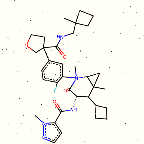 Cn1nccc1C(=O)N[C@@H]1C(=O)[N+](C)(c2cc(C3(C(=O)NCC4(C)CCC4)CCOC3)ccc2F)C2CC2(C)C1C1CCC1